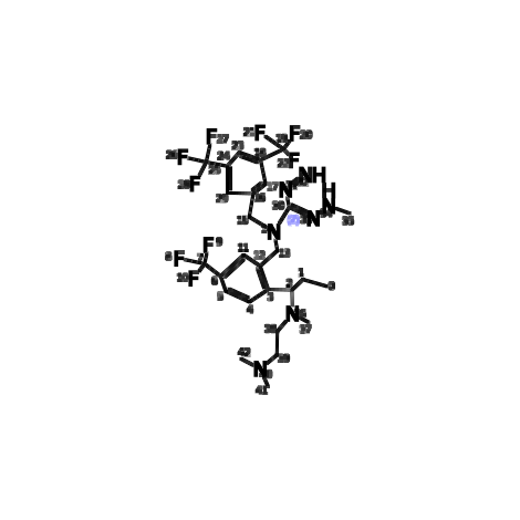 CCC(c1ccc(C(F)(F)F)cc1CN(Cc1cc(C(F)(F)F)cc(C(F)(F)F)c1)/C(N=N)=N/NC)N(C)CCN(C)C